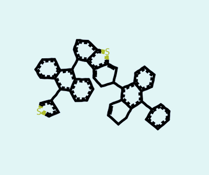 C1=Cc2c(c(-c3ccccc3)c3ccccc3c2C2C=c3sc4cccc(-c5c6ccccc6c(-c6ccsc6)c6ccccc56)c4c3=CC2)CC1